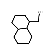 [CH]CC1CCCC2CCCCC12